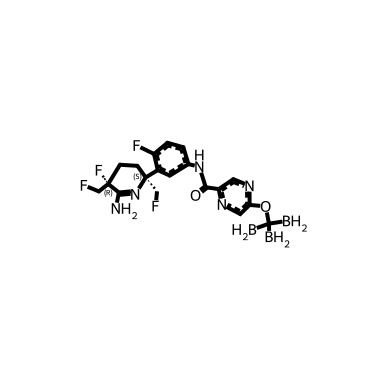 BC(B)(B)Oc1cnc(C(=O)Nc2ccc(F)c([C@]3(CF)CC[C@](F)(CF)C(N)=N3)c2)cn1